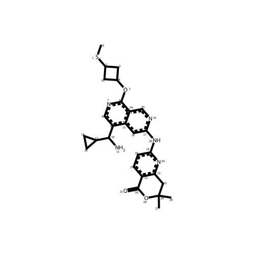 CSC1CC(Oc2ncc(C(N)C3CC3)c3cc(Nc4ccc5c(n4)CC(C)(C)OC5=O)ncc23)C1